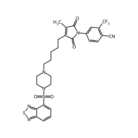 CC1=C(CCCCCN2CCN(S(=O)(=O)c3cccc4nsnc34)CC2)C(=O)N(c2ccc(C#N)c(C(F)(F)F)c2)C1=O